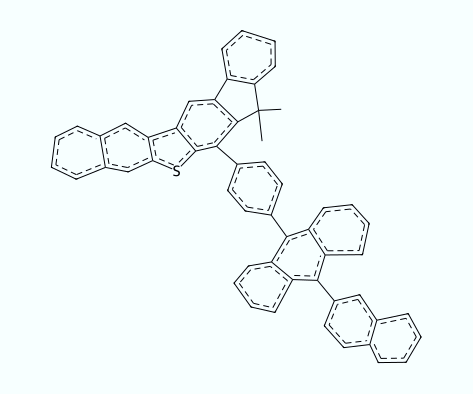 CC1(C)c2ccccc2-c2cc3c(sc4cc5ccccc5cc43)c(-c3ccc(-c4c5ccccc5c(-c5ccc6ccccc6c5)c5ccccc45)cc3)c21